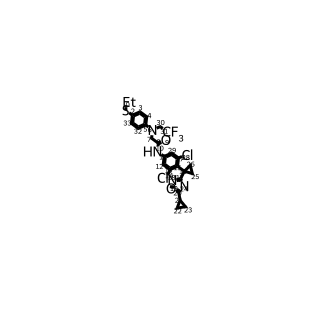 CCSc1ccc(N(CC(=O)Nc2cc(Cl)c(C3(c4noc(C5CC5)n4)CC3)c(Cl)c2)CC(F)(F)F)cc1